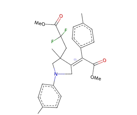 COC(=O)/C(=C1\CN(c2ccc(C)cc2)CC1(C)CC(F)(F)C(=O)OC)c1ccc(C)cc1